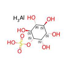 O=S(=O)(O)O[C@@H]1[C@@H](O)[C@H](O)[C@@H](O)[C@H](O)[C@@H]1O.[AlH3]